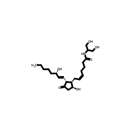 CCCCC[C@H](O)/C=C/[C@H]1C(=O)C[C@H](O)[C@@H]1C/C=C\CCCC(=O)NC(CO)CO